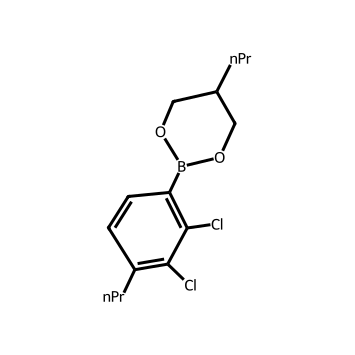 CCCc1ccc(B2OCC(CCC)CO2)c(Cl)c1Cl